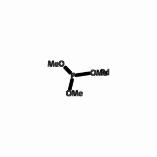 COP(OC)OC.[Pd]